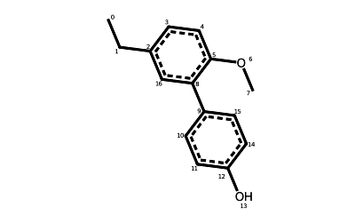 CCc1ccc(OC)c(-c2ccc(O)cc2)c1